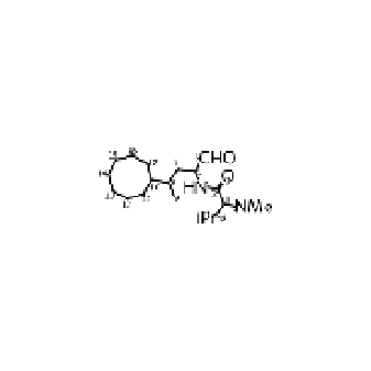 CNC(C(=O)NC(C=O)CC(C)C1CCCCCCC1)C(C)C